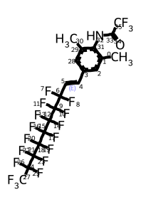 Cc1cc(/C=C/C(F)(F)C(F)(F)C(F)(F)C(F)(F)C(F)(F)C(F)(F)C(F)(F)C(F)(F)F)cc(C)c1NC(=O)C(F)(F)F